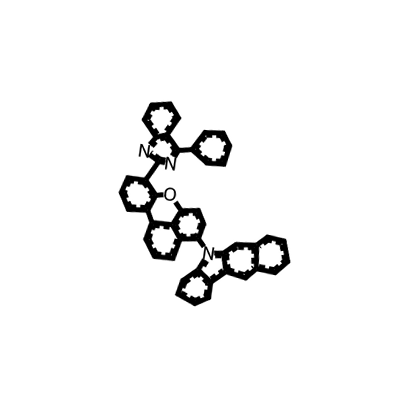 c1ccc(-c2nc(-c3cccc4c3Oc3ccc(-n5c6ccccc6c6cc7ccccc7cc65)c5cccc-4c35)nc3ccccc23)cc1